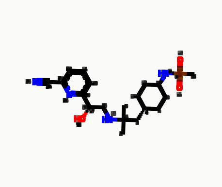 CC(C)(C[C@H]1CC[C@H](NS(C)(=O)=O)CC1)NC[C@H](O)c1cccc(C#N)n1